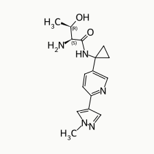 C[C@@H](O)[C@H](N)C(=O)NC1(c2ccc(-c3cnn(C)c3)nc2)CC1